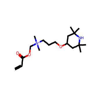 C=CC(=O)OC[N+](C)(C)CCCOC1CC(C)(C)NC(C)(C)C1